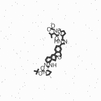 COC(=O)N[C@H](C(=O)N1C(c2ncc(-c3ccc4c(c3)COc3cc5c(ccc6nc([C@@H]7C[C@H](C)CN7C(=O)OC(C)(C)C)[nH]c65)cc3-4)[nH]2)CC[C@@H]1C)C(C)C